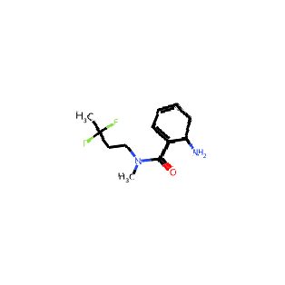 CN(CCC(C)(F)F)C(=O)C1=CC=CCC1N